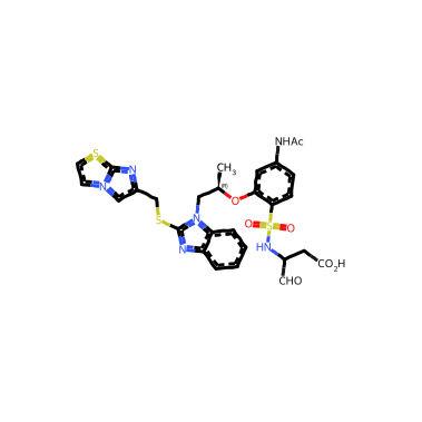 CC(=O)Nc1ccc(S(=O)(=O)NC(C=O)CC(=O)O)c(O[C@H](C)Cn2c(SCc3cn4ccsc4n3)nc3ccccc32)c1